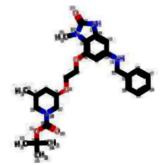 C[C@H]1C[C@@H](OCCOc2cc(NCc3ccccc3)cc3[nH]c(=O)n(C)c23)CN(C(=O)OC(C)(C)C)C1